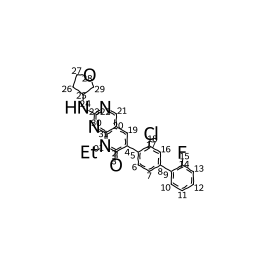 CCn1c(=O)c(-c2ccc(-c3ccccc3F)cc2Cl)cc2cnc(NC3CCOC3)nc21